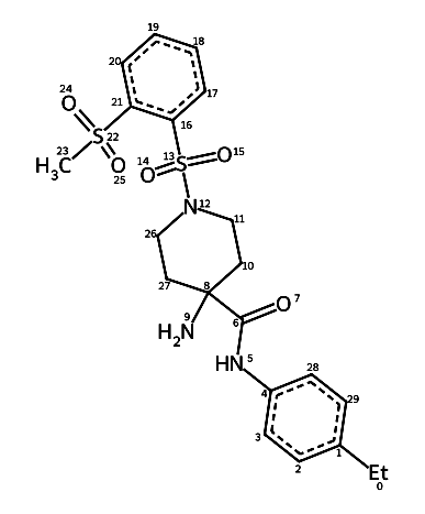 CCc1ccc(NC(=O)C2(N)CCN(S(=O)(=O)c3ccccc3S(C)(=O)=O)CC2)cc1